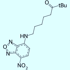 CC(C)(C)C(=O)CCCCCNc1ccc([N+](=O)[O-])c2nonc12